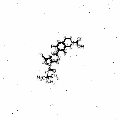 CC(C)(C)OC(=O)n1nc(I)c2nc(-c3c(F)cc4c(c3F)CN(C(=O)O)CC4)ncc21